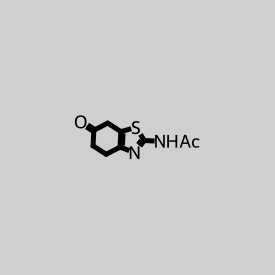 CC(=O)Nc1nc2c(s1)CC(=O)CC2